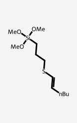 CCCCC=CSCCC[Si](OC)(OC)OC